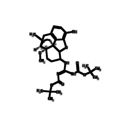 CO[C@@]12CCC(NC(=NC(=O)OC(C)(C)C)NC(=O)OC(C)(C)C)C3Oc4c(O)ccc5c4[C@@]31CCN(C)[C@@H]2C5